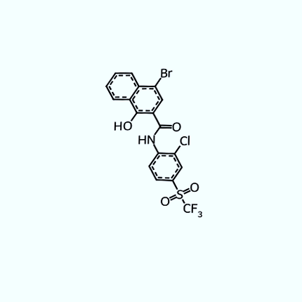 O=C(Nc1ccc(S(=O)(=O)C(F)(F)F)cc1Cl)c1cc(Br)c2ccccc2c1O